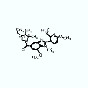 CCc1nc(OC)ccc1-c1nc2cc(C(=O)N3C[C@@H](CC)[C@@H](N)[C@H]3C)cc(OC)c2n1C